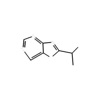 CC(C)c1nc2ncncc2s1